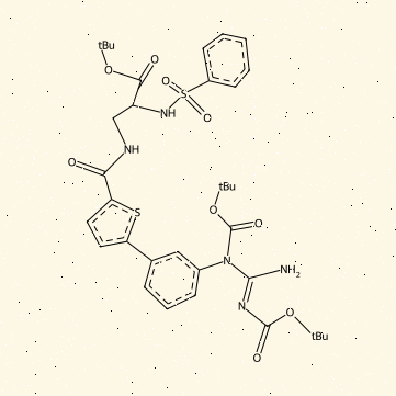 CC(C)(C)OC(=O)N=C(N)N(C(=O)OC(C)(C)C)c1cccc(-c2ccc(C(=O)NCC(NS(=O)(=O)c3ccccc3)C(=O)OC(C)(C)C)s2)c1